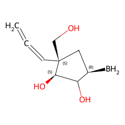 B[C@@H]1C[C@](C=C=C)(CO)[C@H](O)C1O